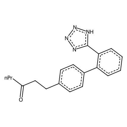 CCCC(=O)CCc1ccc(-c2ccccc2-c2nnn[nH]2)cc1